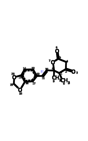 CC1C(=O)CC(=O)OC1(C)/C=C/c1ccc2c(c1)OCO2